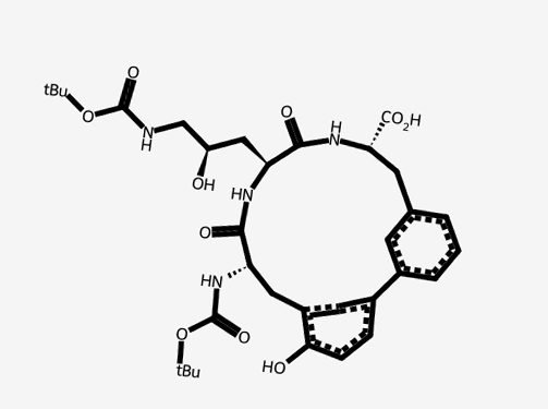 CC(C)(C)OC(=O)NC[C@H](O)C[C@@H]1NC(=O)[C@@H](NC(=O)OC(C)(C)C)Cc2cc(ccc2O)-c2cccc(c2)C[C@@H](C(=O)O)NC1=O